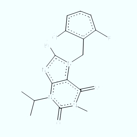 CC(C)n1c(=O)n(C)c(=O)c2c1nc(Br)n2Cc1c(F)cccc1Cl